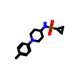 Cc1ccc(N2CCC(NS(=O)(=O)C3CC3)CC2)cc1